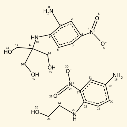 Nc1cc([N+](=O)[O-])ccc1NC(CO)(CO)CO.Nc1ccc(NCCO)c([N+](=O)[O-])c1